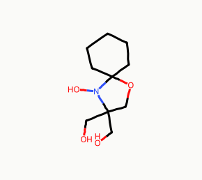 OCC1(CO)COC2(CCCCC2)N1O